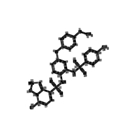 COc1ccc(Oc2ccc(NS(=O)(=O)C3=CC=C(Cl)N4ONC=C34)c(NS(=O)(=O)c3ccc(C)cc3)c2)cc1